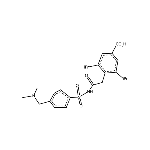 CC(C)c1cc(C(=O)O)cc(C(C)C)c1CC(=O)NS(=O)(=O)c1ccc(CN(C)C)cc1